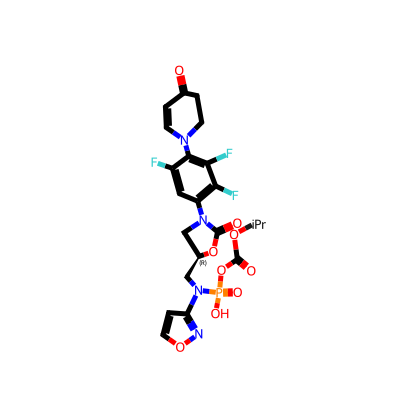 CC(C)OC(=O)OP(=O)(O)N(C[C@H]1CN(c2cc(F)c(N3C=CC(=O)CC3)c(F)c2F)C(=O)O1)c1ccon1